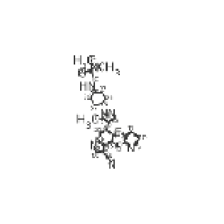 Cc1c(-c2cc(Sc3ncccc3F)c3c(C#N)cnn3c2)cnn1[C@H]1CC[C@H](NCC(=O)N(C)C)CC1